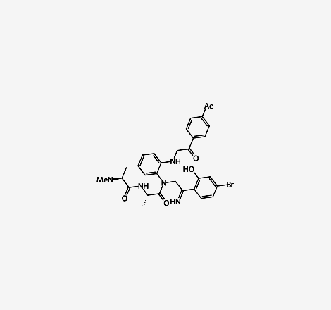 CN[C@@H](C)C(=O)N[C@@H](C)C(=O)N(CC(=N)c1ccc(Br)cc1O)c1ccccc1NCC(=O)c1ccc(C(C)=O)cc1